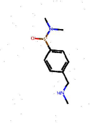 CNCc1ccc([S+]([O-])N(C)C)cc1